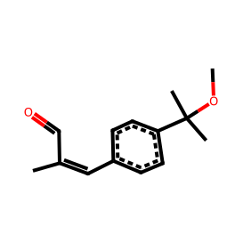 COC(C)(C)c1ccc(C=C(C)C=O)cc1